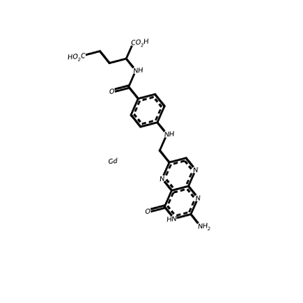 Nc1nc2ncc(CNc3ccc(C(=O)NC(CCC(=O)O)C(=O)O)cc3)nc2c(=O)[nH]1.[Gd]